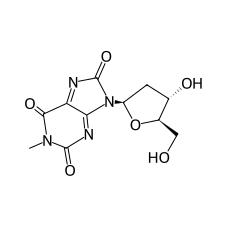 CN1C(=O)N=C2C(=NC(=O)N2[C@H]2C[C@H](O)[C@@H](CO)O2)C1=O